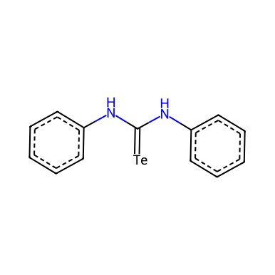 [Te]=C(Nc1ccccc1)Nc1ccccc1